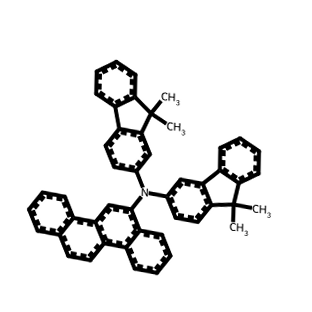 CC1(C)c2ccccc2-c2cc(N(c3ccc4c(c3)C(C)(C)c3ccccc3-4)c3cc4c5ccccc5ccc4c4ccccc34)ccc21